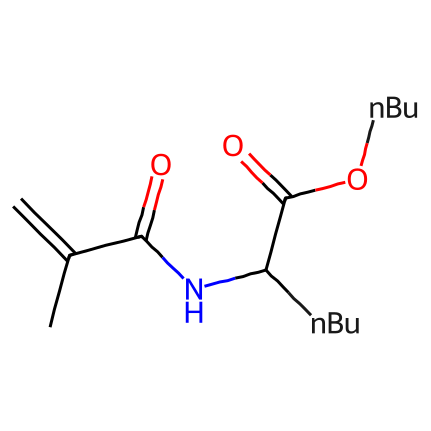 C=C(C)C(=O)NC(CCCC)C(=O)OCCCC